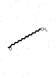 CCCCCCCCC=CCCCCCCCCC1CO1